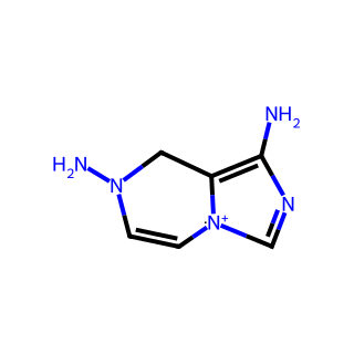 NC1=C2CN(N)C=C[N+]2C=N1